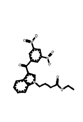 CCOC(=O)CCCn1cc(C(=O)c2cc([N+](=O)[O-])cc([N+](=O)[O-])c2)c2ccccc21